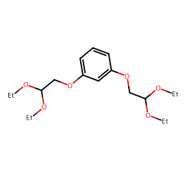 CCOC(COc1cccc(OCC(OCC)OCC)c1)OCC